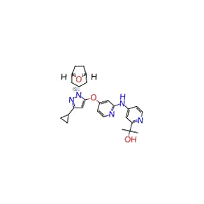 CC(C)(O)c1cc(Nc2cc(Oc3cc(C4CC4)nn3[C@@H]3C[C@H]4CC[C@@H](C3)O4)ccn2)ccn1